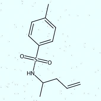 C=CCC(C)NS(=O)(=O)c1ccc(C)cc1